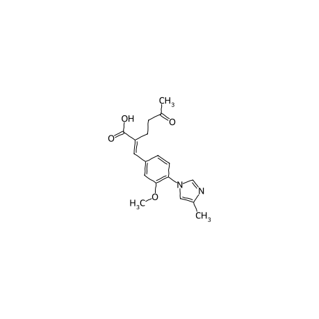 COc1cc(/C=C(\CCC(C)=O)C(=O)O)ccc1-n1cnc(C)c1